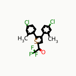 Cc1cc(Cl)ccc1-c1cc(C(=O)C(F)(F)F)sc1-c1ccc(Cl)cc1C